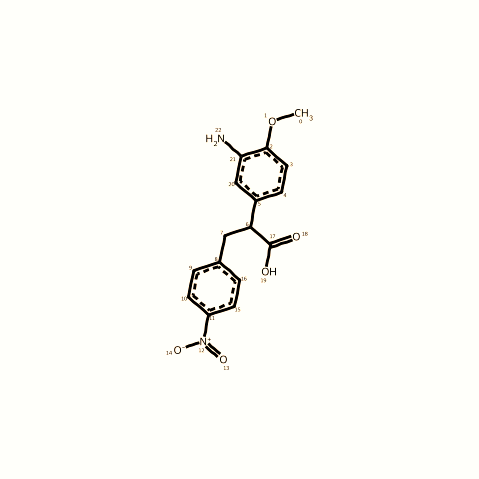 COc1ccc(C(Cc2ccc([N+](=O)[O-])cc2)C(=O)O)cc1N